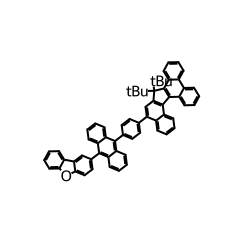 CC(C)(C)C1(C(C)(C)C)c2cc(-c3ccc(-c4c5ccccc5c(-c5ccc6oc7ccccc7c6c5)c5ccccc45)cc3)c3ccccc3c2-c2c1c1ccccc1c1ccccc21